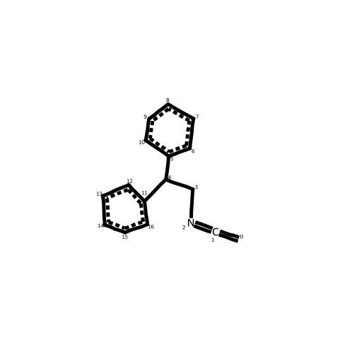 C=C=NCC(c1ccccc1)c1ccccc1